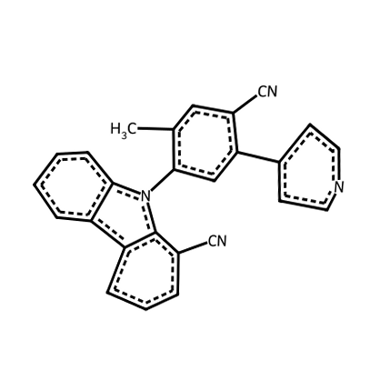 Cc1cc(C#N)c(-c2ccncc2)cc1-n1c2ccccc2c2cccc(C#N)c21